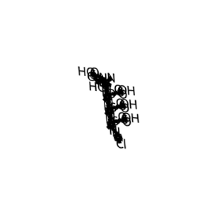 Cc1cc(N=Nc2cc(SCCCS(=O)(=O)O)c(N=Nc3cc(OCCCS(=O)(=O)O)c(N=Nc4c(C)c(C#N)c5nc6cc(S(=O)(=O)O)cc(C)c6n5c4O)cc3C)cc2C)c(SCCCS(=O)(=O)O)cc1N=Nc1ccc(Cl)cc1